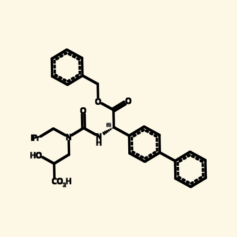 CC(C)CN(CC(O)C(=O)O)C(=O)N[C@H](C(=O)OCc1ccccc1)c1ccc(-c2ccccc2)cc1